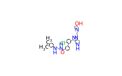 Cc1ccc(NCCNC(=O)c2cccc(-c3cc(-c4nn(CCCN5CCC(O)C5)c5c4CNCC5)ccc3Cl)c2)cc1C